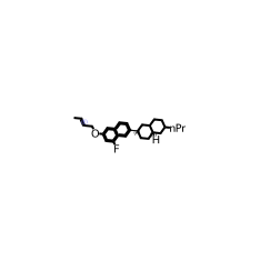 C/C=C/COc1cc(F)c2cc([C@@H]3CC[C@@H]4CC(CCC)CCC4C3)ccc2c1